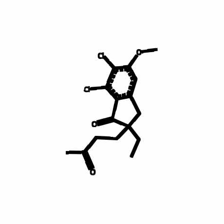 CCC1(CCC(C)=O)Cc2cc(OC)c(Cl)c(Cl)c2C1=O